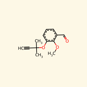 C#CC(C)(C)Oc1cccc(C=O)c1OC